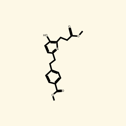 COC(=O)CCc1nc(CCc2ccc(C(=O)OC)cc2)ccc1O